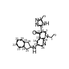 CCn1cc(-c2nnc(C)[nH]2)c(=O)c2cc(NC3Cc4ccccc4C3)cnc21